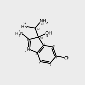 NC1=Nc2ccc(Cl)cc2C1(O)C(N)S